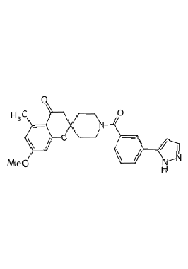 COc1cc(C)c2c(c1)OC1(CCN(C(=O)c3cccc(-c4ccn[nH]4)c3)CC1)CC2=O